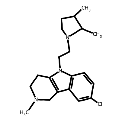 CC1CCN(CCn2c3c(c4cc(Cl)ccc42)CN(C)CC3)C1C